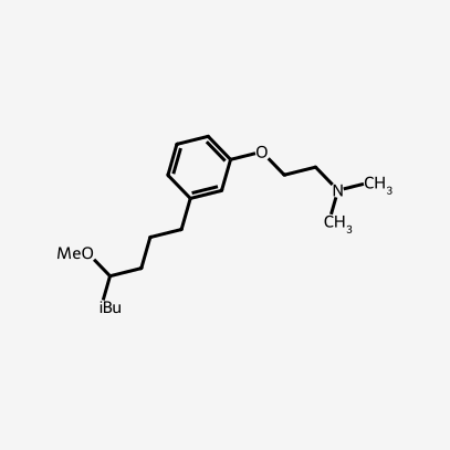 CCC(C)C(CCCc1cccc(OCCN(C)C)c1)OC